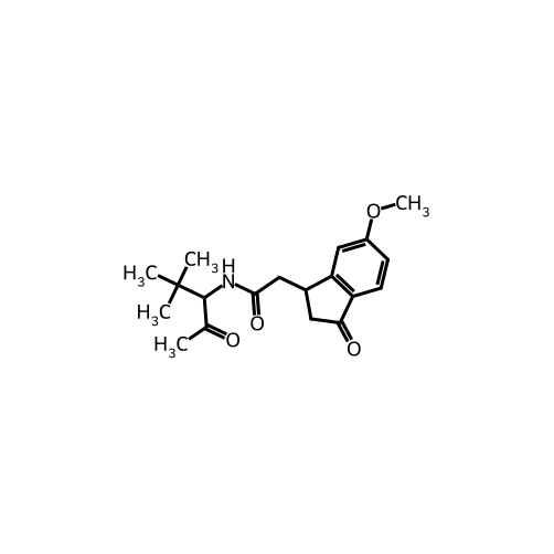 COc1ccc2c(c1)C(CC(=O)NC(C(C)=O)C(C)(C)C)CC2=O